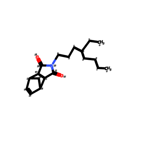 CCCCC(CC)CCCN1C(=O)C2C3C=CC(C3)C2C1=O